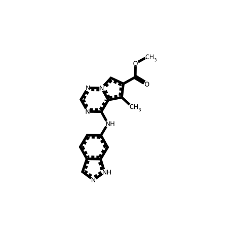 COC(=O)c1cn2ncnc(Nc3ccc4cn[nH]c4c3)c2c1C